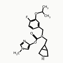 CC(C)Oc1cc(CN(CC2C3CNCC32)C(=O)Oc2cn(C)cn2)ccc1F